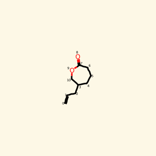 C=CCC1CCCC(=O)OC1